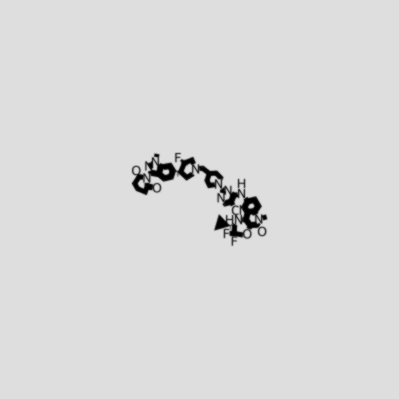 Cn1nc(N2C(=O)CCCC2=O)c2ccc([C@H]3CCN(CC4CCN(c5ncc(Cl)c(Nc6ccc7c(c6)c6c(c(=O)n7C)OCC(F)(F)[C@H](C7CC7)N6)n5)CC4)C[C@@H]3F)cc21